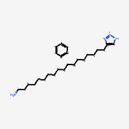 NCCCCCCCCCCCCCCCCCCc1c[nH]nn1.c1ccccc1